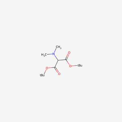 CN(C)C(C(=O)OC(C)(C)C)C(=O)OC(C)(C)C